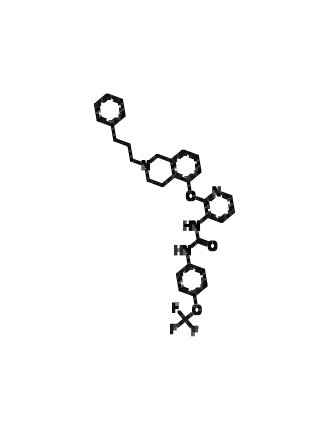 O=C(Nc1ccc(OC(F)(F)F)cc1)Nc1cccnc1Oc1cccc2c1CCN(CCCc1ccccc1)C2